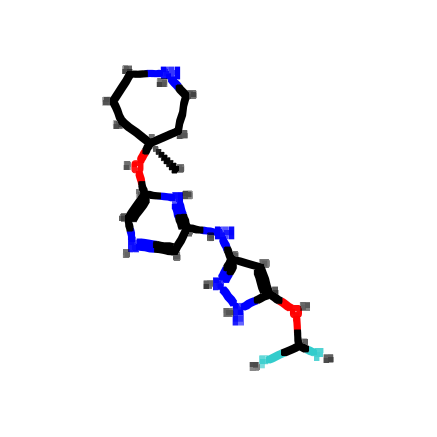 C[C@]1(Oc2cncc(Nc3cc(OC(F)F)[nH]n3)n2)CCCNCC1